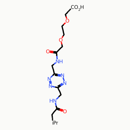 CC(C)CC(=O)NCc1nnc(CNC(=O)COCCOCC(=O)O)nn1